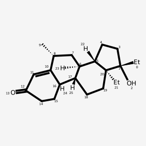 CC[C@]1(O)CC[C@H]2[C@@H]3C[C@@H](C)C4=CC(=O)CC[C@@H]4[C@H]3CC[C@@]21CC